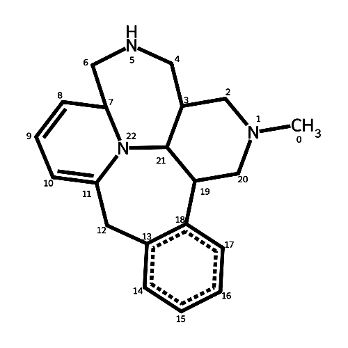 CN1CC2CNCC3C=CC=C4Cc5ccccc5C(C1)C2N43